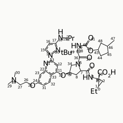 CCC1C[C@]1(NC(=O)C1C[C@@H](Oc2cc(-n3ccc(NC(C)C)n3)nc3cc(OCCN(C)C)ccc23)CN1C(=O)[C@@H](NC(=O)OC1CCC(C)C1)C(C)(C)C)C(=O)O